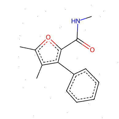 CNC(=O)c1oc(C)c(C)c1-c1ccccc1